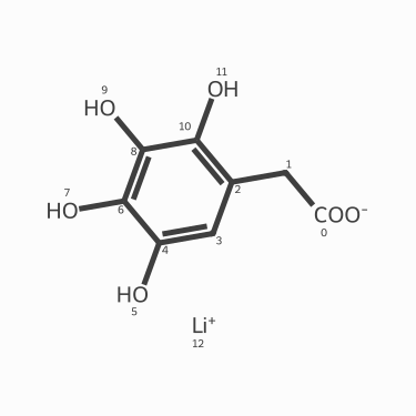 O=C([O-])Cc1cc(O)c(O)c(O)c1O.[Li+]